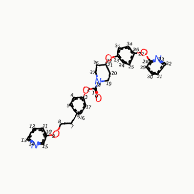 O=C(Oc1ccc(CCOc2cccnc2)cc1)N1CCC(Oc2ccc(Oc3ccccn3)cc2)CC1